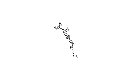 CCCCCCCC(F)CCOc1ccc(-c2cnc(-c3ccc(OC(=O)C(C)CCCC(C)C)cc3)nc2)cc1